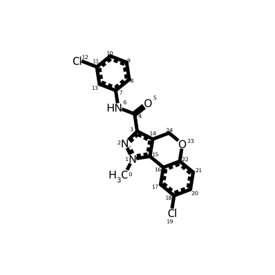 Cn1nc(C(=O)Nc2cccc(Cl)c2)c2c1-c1cc(Cl)ccc1OC2